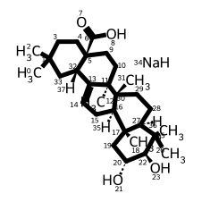 CC1(C)CC[C@]2(C(=O)O)CC[C@]3(C)C(=CC[C@@H]4[C@@]5(C)C[C@@H](O)[C@H](O)C(C)(C)[C@@H]5CC[C@]43C)[C@@H]2C1.[NaH]